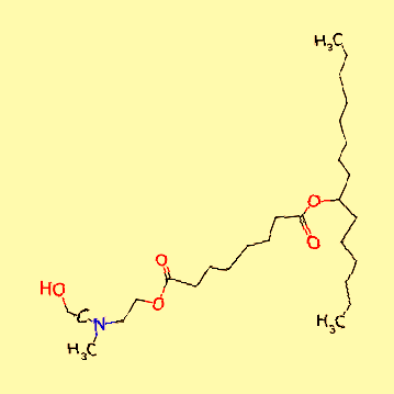 CCCCCCCCC(CCCCCC)OC(=O)CCCCCCC(=O)OCCN(C)CCO